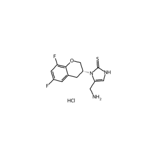 Cl.NCc1c[nH]c(=S)n1[C@H]1COc2c(F)cc(F)cc2C1